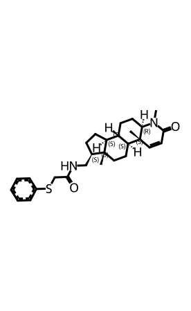 CN1C(=O)C=C[C@]2(C)[C@H]3CC[C@]4(C)[C@@H](CNC(=O)CSc5ccccc5)CC[C@H]4[C@@H]3CC[C@@H]12